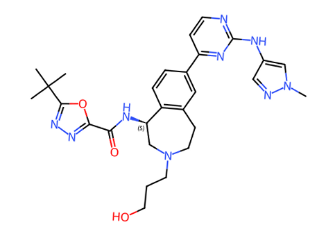 Cn1cc(Nc2nccc(-c3ccc4c(c3)CCN(CCCO)C[C@H]4NC(=O)c3nnc(C(C)(C)C)o3)n2)cn1